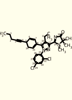 CCCC#CC1C=CC(c2c(CC)c(C3=NC(=O)C(C)(C)N3C)nn2-c2ccc(Cl)cc2Cl)=CC1